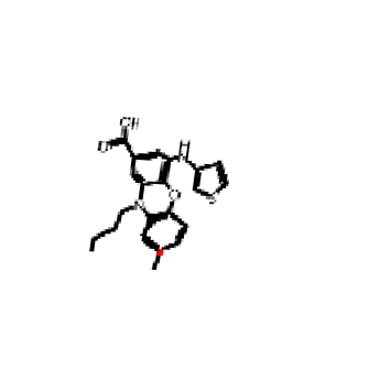 CCCCN(CCCC)c1cc(C(=O)O)cc(Nc2ccsc2)c1Oc1ccccc1